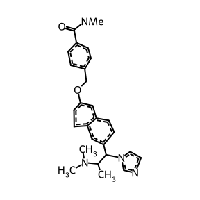 CNC(=O)c1ccc(COc2ccc3cc(C(C(C)N(C)C)n4ccnc4)ccc3c2)cc1